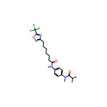 CC(C)C(=O)N(C)c1ccc(NC(=O)CCCCCCc2noc(C(F)(F)F)n2)cc1